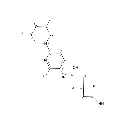 Cc1nc(N2CC(C)OC(C)C2)ccc1NC1(O)CC2(CC(N)C2)C1